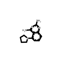 Nc1nc(N)c2c(N3CCCC3)cccc2n1